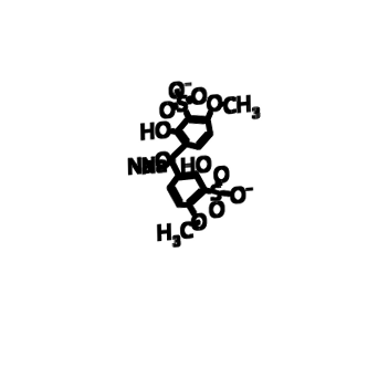 COc1ccc(C(=O)c2ccc(OC)c(S(=O)(=O)[O-])c2O)c(O)c1S(=O)(=O)[O-].[Na+].[Na+]